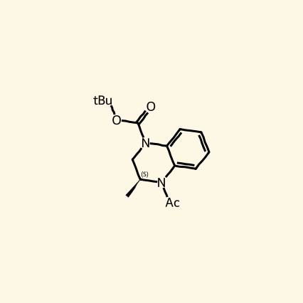 CC(=O)N1c2ccccc2N(C(=O)OC(C)(C)C)C[C@@H]1C